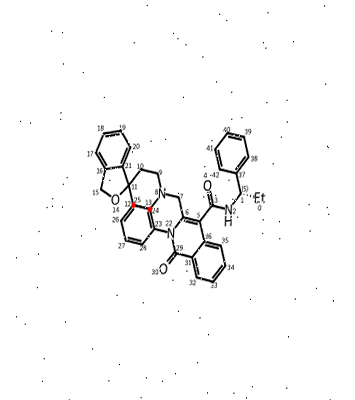 CC[C@H](NC(=O)c1c(CN2CCC3(CC2)OCc2ccccc23)n(-c2ccccc2)c(=O)c2ccccc12)c1ccccc1